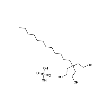 CCCCCCCCCCCC[N+](CCO)(CCO)CCO.O=S(=O)(O)O